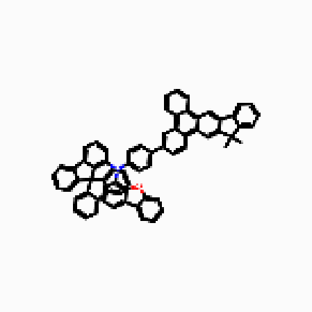 CC1(C)c2ccccc2-c2cc3c4ccccc4c4cc(-c5ccc(N(c6cccc7c6C6(c8ccccc8-c8ccccc86)c6ccccc6-7)c6cccc7c6oc6ccccc67)cc5)ccc4c3cc21